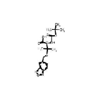 CC(C)(C)OC(=O)N[C@H](C(=O)O)C(C)(C)SCc1ccc2nonc2c1